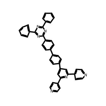 c1ccc(-c2nc(-c3ccccc3)nc(-c3ccc(-c4ccc(-c5cc(-c6ccncc6)nc(-c6ccncc6)c5)cc4)cc3)n2)cc1